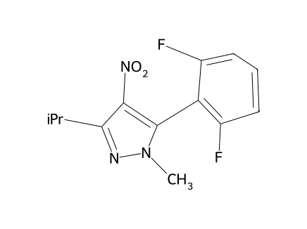 CC(C)c1nn(C)c(-c2c(F)cccc2F)c1[N+](=O)[O-]